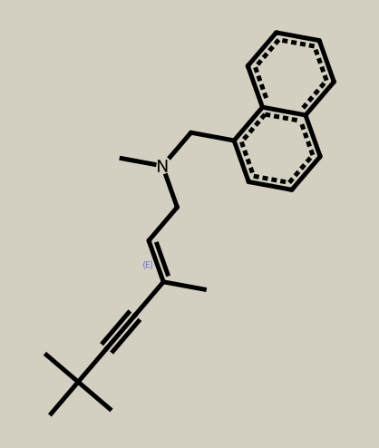 C/C(C#CC(C)(C)C)=C\CN(C)Cc1cccc2ccccc12